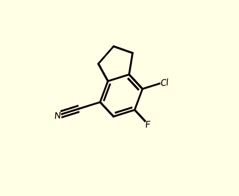 N#Cc1cc(F)c(Cl)c2c1CCC2